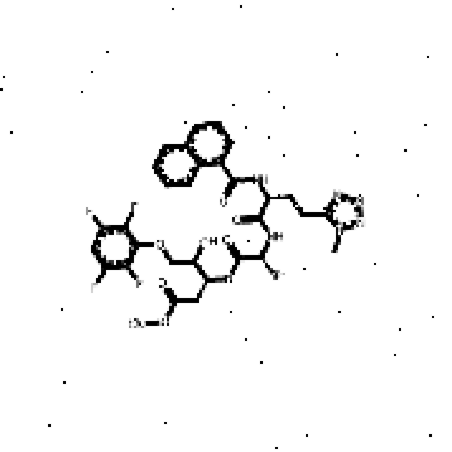 CC(C)[C@H](NC(=O)[C@H](CCc1nnnn1C)NC(=O)c1cccc2ccccc12)C(=O)N[C@@H](CC(=O)OC(C)(C)C)C(O)COc1c(F)c(F)cc(F)c1F